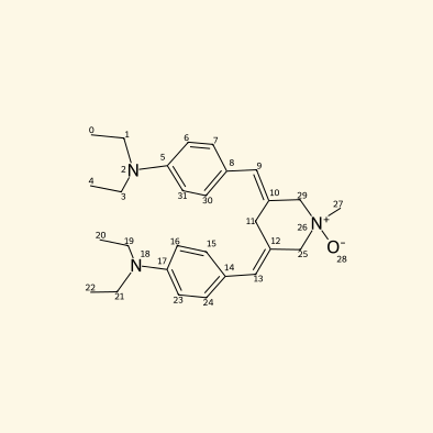 CCN(CC)c1ccc(C=C2CC(=Cc3ccc(N(CC)CC)cc3)C[N+](C)([O-])C2)cc1